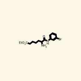 CCOC(=O)CCCCC(N)C(=O)Nc1cccc(Br)c1